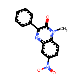 Cn1c(=O)c(-c2ccccc2)nc2cc([N+](=O)[O-])ccc21